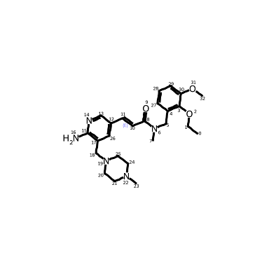 CCOc1c(CN(C)C(=O)/C=C/c2cnc(N)c(CN3CCN(C)CC3)c2)cccc1OC